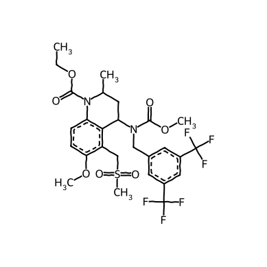 CCOC(=O)N1c2ccc(OC)c(CS(C)(=O)=O)c2C(N(Cc2cc(C(F)(F)F)cc(C(F)(F)F)c2)C(=O)OC)CC1C